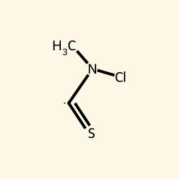 CN(Cl)[C]=S